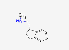 CNCC1CCc2ccccc21